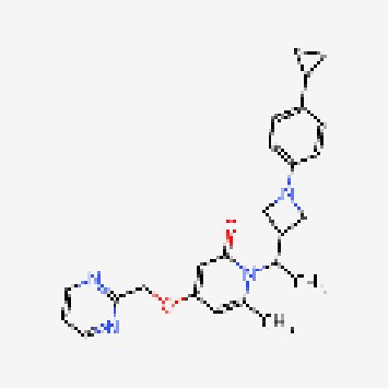 Cc1cc(OCc2ncccn2)cc(=O)n1C(C)C1CN(c2ccc(C3CC3)cc2)C1